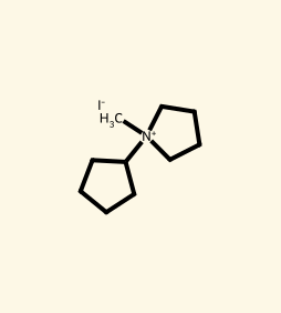 C[N+]1(C2CCCC2)CCCC1.[I-]